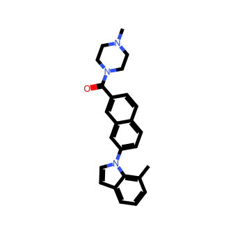 Cc1cccc2ccn(-c3ccc4ccc(C(=O)N5CCN(C)CC5)cc4c3)c12